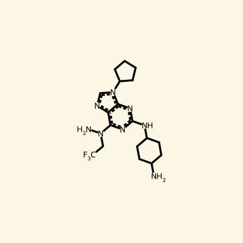 NC1CCC(Nc2nc(N(N)CC(F)(F)F)c3ncn(C4CCCC4)c3n2)CC1